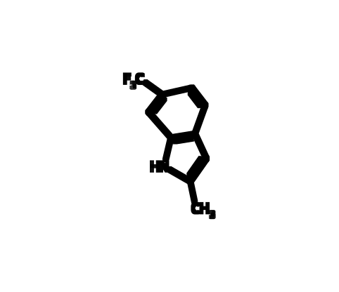 Cc1cc2ccc(C(F)(F)F)cc2[nH]1